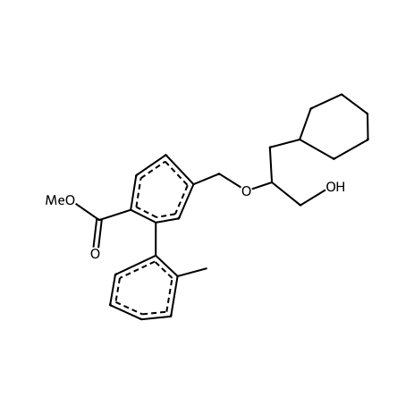 COC(=O)c1ccc(COC(CO)CC2CCCCC2)cc1-c1ccccc1C